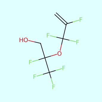 C=C(F)C(F)(F)OC(F)(CO)C(F)(F)F